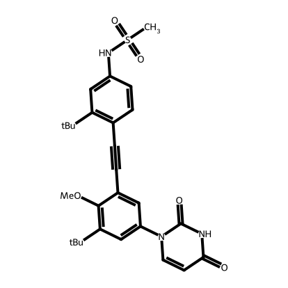 COc1c(C#Cc2ccc(NS(C)(=O)=O)cc2C(C)(C)C)cc(-n2ccc(=O)[nH]c2=O)cc1C(C)(C)C